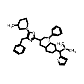 CC1CCCN(c2oc(C(CNc3ccccc3)CC3CCC(C(c4cccs4)N(C)C)CC3)nc2Cc2ccccc2)C1